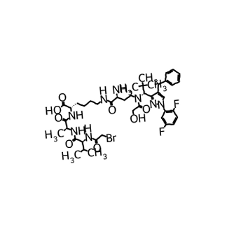 CC(C)[C@H](NC(=O)CBr)C(=O)N[C@@H](C)C(=O)N[C@@H](CCCCNC(=O)[C@@H](N)CCN(C(=O)CO)[C@@H](c1nn(-c2cc(F)ccc2F)cc1Cc1ccccc1)C(C)(C)C)C(=O)O